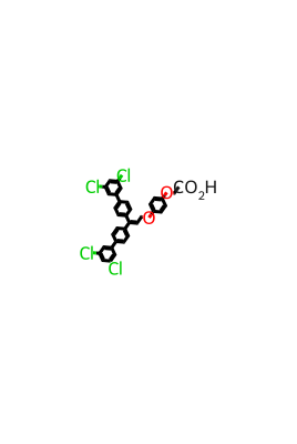 O=C(O)COc1ccc(OCC=C(c2ccc(-c3cc(Cl)cc(Cl)c3)cc2)c2ccc(-c3cc(Cl)cc(Cl)c3)cc2)cc1